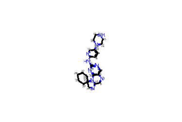 C1=Nc2cnc(Nc3ccc(N4CCNCC4)cn3)nc2N2C1=NCC21CCCCC1